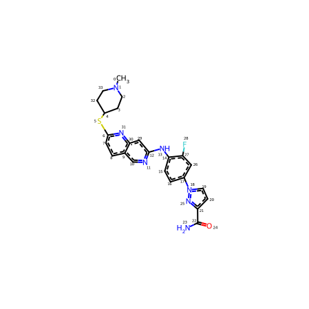 CN1CCC(Sc2ccc3cnc(Nc4ccc(-n5ccc(C(N)=O)n5)cc4F)cc3n2)CC1